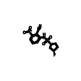 N#Cc1c(NS(=O)(=O)N2CC[C@@H](F)C2)cccc1[N+](=O)[O-]